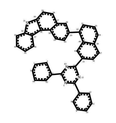 c1ccc(-c2nc(-c3ccccc3)nc(-c3ccc4cccc(-c5ccc6c(ccc7sc8ccccc8c76)c5)c4c3)n2)cc1